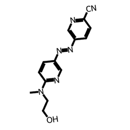 CN(CCO)c1ccc(/N=N/c2ccc(C#N)nc2)cn1